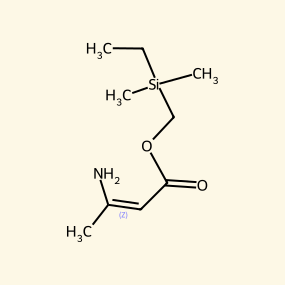 CC[Si](C)(C)COC(=O)/C=C(/C)N